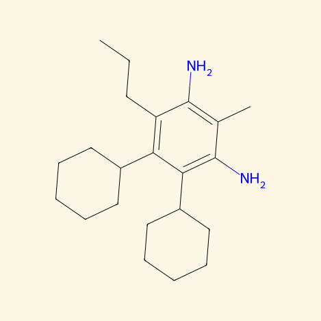 CCCc1c(N)c(C)c(N)c(C2CCCCC2)c1C1CCCCC1